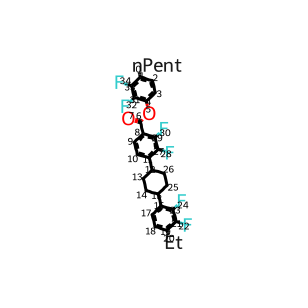 CCCCCc1ccc(OC(=O)c2ccc(C3CCC(c4ccc(CC)c(F)c4F)CC3)c(F)c2F)c(F)c1F